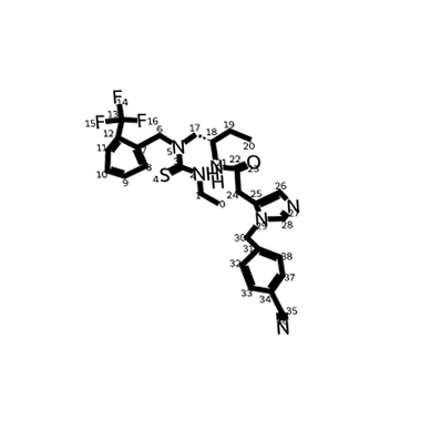 CCNC(=S)N(Cc1ccccc1C(F)(F)F)C[C@H](CC)NC(=O)Cc1cncn1Cc1ccc(C#N)cc1